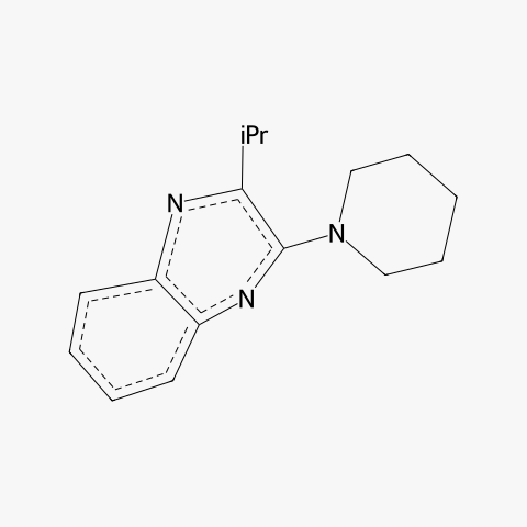 CC(C)c1nc2ccccc2nc1N1CCCCC1